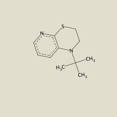 CC(C)(C)N1CCSc2ncccc21